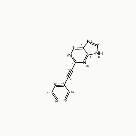 C(#Cc1ncc2nc[nH]c2n1)c1ccccc1